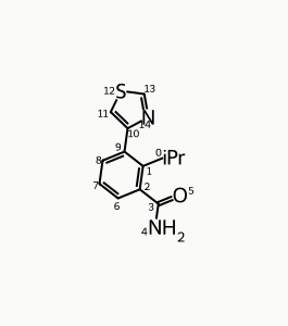 CC(C)c1c(C(N)=O)cccc1-c1cscn1